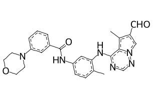 Cc1ccc(NC(=O)c2cccc(N3CCOCC3)c2)cc1Nc1ncnn2cc(C=O)c(C)c12